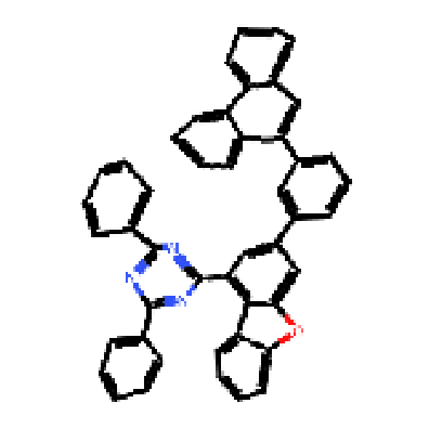 c1ccc(-c2nc(-c3ccccc3)nc(-c3cc(-c4cccc(-c5cc6ccccc6c6ccccc56)c4)cc4oc5ccccc5c34)n2)cc1